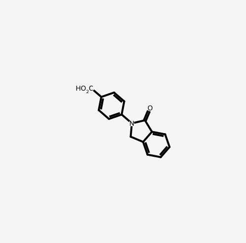 O=C(O)c1ccc(N2Cc3ccccc3C2=O)cc1